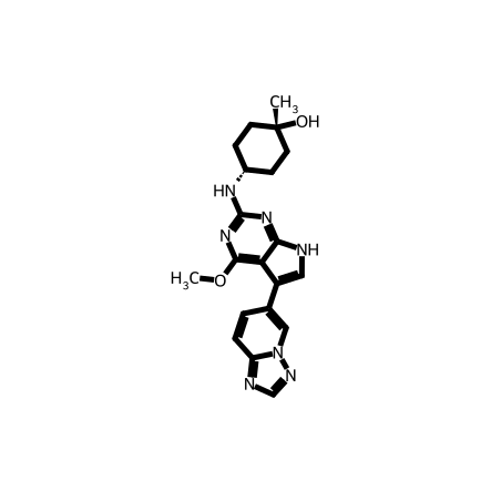 COc1nc(N[C@H]2CC[C@@](C)(O)CC2)nc2[nH]cc(-c3ccc4ncnn4c3)c12